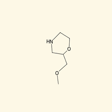 COCC1CNCCO1